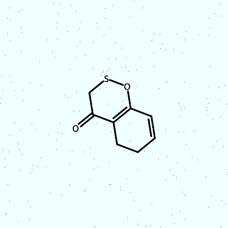 O=C1CSOC2=C1CCC=C2